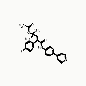 CC(C)(CC(C(=O)Nc1ccc(-c2ccncc2)cc1)c1ccc(F)cc1)OC(N)=O